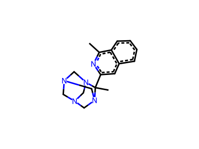 Cc1nc(C2(C)N3CN4CN(C3)CN2C4)cc2ccccc12